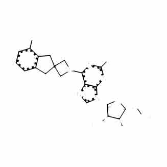 OC[C@H]1O[C@@H](n2cnc3c(N4CC5(Cc6cccc(F)c6C5)C4)nc(Cl)nc32)[C@H](O)[C@@H]1O